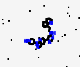 c1cnc2c(CCNc3cc(-c4cnc5c(cnn5C5CCNCC5)c4)ncn3)cccc2c1